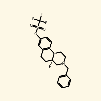 O=S(=O)(Oc1ccc2c(c1)CC[C@@H]1CN(Cc3ccccc3)CCN21)C(F)(F)F